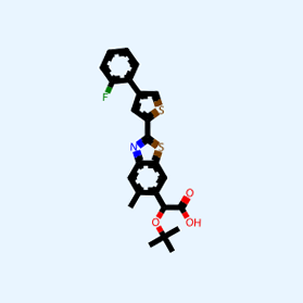 Cc1cc2nc(-c3cc(-c4ccccc4F)cs3)sc2cc1C(OC(C)(C)C)C(=O)O